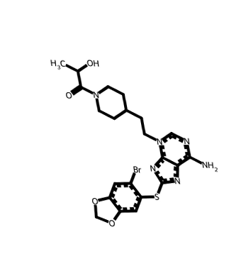 CC(O)C(=O)N1CCC(CCn2cnc(N)c3nc(Sc4cc5c(cc4Br)OCO5)nc2-3)CC1